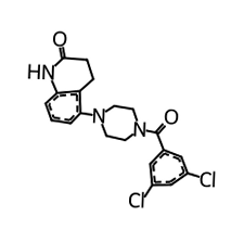 O=C1CCc2c(cccc2N2CCN(C(=O)c3cc(Cl)cc(Cl)c3)CC2)N1